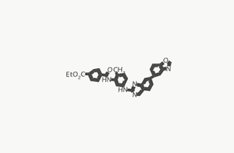 CCOC(=O)c1ccc(C(=O)Nc2cc(Nc3ncc4ccc(-c5ccc6ocnc6c5)cc4n3)ccc2C)cc1